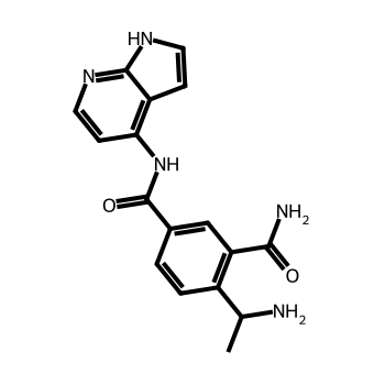 CC(N)c1ccc(C(=O)Nc2ccnc3[nH]ccc23)cc1C(N)=O